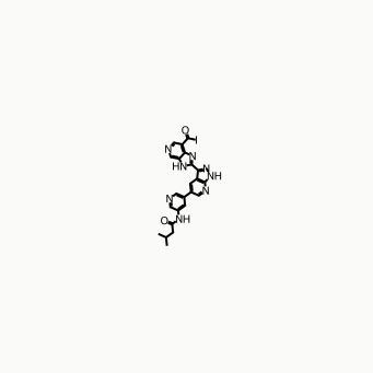 CC(C)CC(=O)Nc1cncc(-c2cnc3[nH]nc(-c4nc5c(C(=O)I)cncc5[nH]4)c3c2)c1